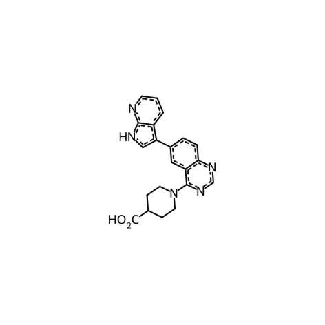 O=C(O)C1CCN(c2ncnc3ccc(-c4c[nH]c5ncccc45)cc23)CC1